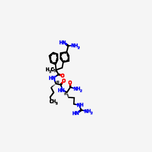 CCCC[C@H](NC(=O)[C@](C)(Cc1ccc(C(=N)N)cc1)c1ccccc1)C(=O)N[C@@H](CCCNC(=N)N)C(N)=O